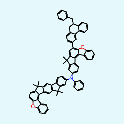 CC1(C)c2cc(N(c3ccccc3)c3ccc4c(c3)C(C)(C)c3cc(-c5ccc6c(c5)-c5ccccc5C(Cc5ccccc5)C6)c5oc6ccccc6c5c3-4)ccc2-c2cc3c(cc21)-c1c(ccc2oc4ccccc4c12)C3(C)C